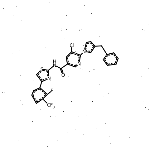 O=C(Nc1nc(-c2cccc(C(F)(F)F)c2F)cs1)c1cnc(-n2ccc(Cc3ccccc3)c2)c(Cl)c1